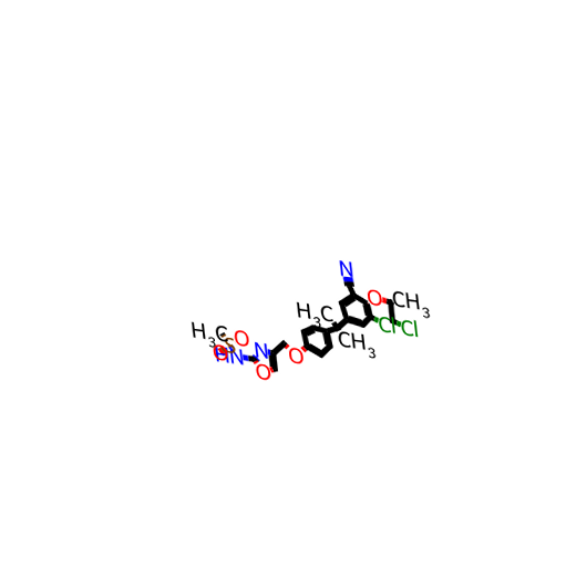 CC(CCl)Oc1c(Cl)cc(C(C)(C)c2ccc(OCc3coc(NS(C)(=O)=O)n3)cc2)cc1C#N